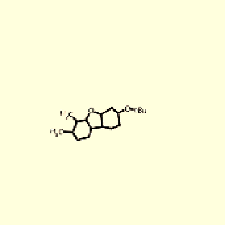 CCCCOC1CCC2C(C1)OC1C(C)C(C)CCC21